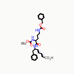 CC(C)(C)OC(=O)NC(CCCNC(=O)OCc1ccccc1)C(=O)NC(/C=C/C=C/C(=O)O)Cc1ccccc1